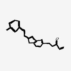 C=CC(=O)CCc1ccc2c(c1)CC(CCc1cccc(C)c1)C2